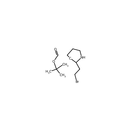 BrCCC1CCCCN1.CC(C)(C)OC=O